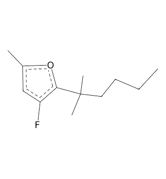 CCCCC(C)(C)c1oc(C)cc1F